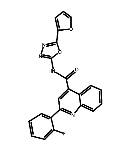 O=C(Nc1nnc(-c2ccco2)o1)c1cc(-c2ccccc2F)nc2ccccc12